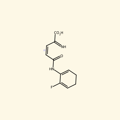 N=C(/C=C\C(=O)NC1=CCCC=C1F)C(=O)O